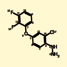 NNc1ccc(Oc2cccc(F)c2F)cc1Cl